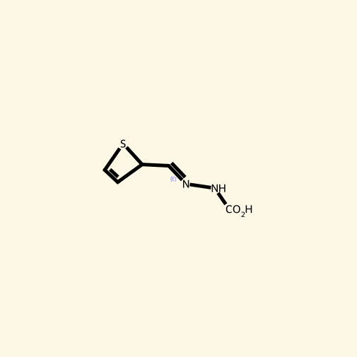 O=C(O)N/N=C/C1C=CS1